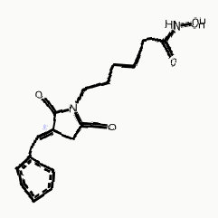 O=C(CCCCCN1C(=O)C/C(=C\c2ccccc2)C1=O)NO